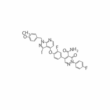 COc1ccc(Cn2nc(I)c3c(Oc4ccc(-c5cnn(-c6ccc(F)cc6)c(=O)c5C(N)=O)cc4F)ccnc32)cc1